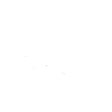 CC(c1cc(-c2cccc(F)c2)no1)n1cc(-c2ccc(Cl)cc2)c2c(N)ncnc21